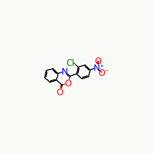 O=c1oc(-c2ccc([N+](=O)[O-])cc2Cl)nc2ccccc12